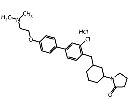 CN(C)CCOc1ccc(-c2ccc(CC3CCCC(N4CCCC4=O)C3)c(Cl)c2)cc1.Cl